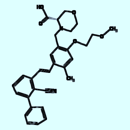 COCCOc1cc(C)c(/C=C/c2cccc(-c3ccccc3)c2C#N)cc1CN1CCOC[C@H]1C(=O)O